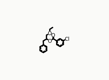 CCOCC(Cc1ccccc1)OC(=O)c1cccc(Cl)c1